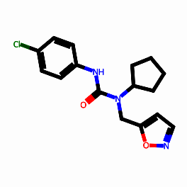 O=C(Nc1ccc(Cl)cc1)N(Cc1ccno1)C1CCCC1